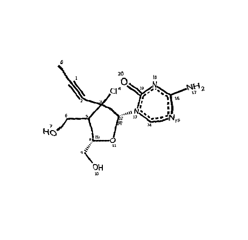 CC#CC1(Cl)C(CO)[C@@H](CO)O[C@H]1n1cnc(N)nc1=O